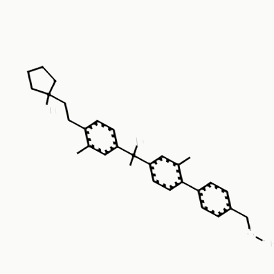 CCC(CC)(c1ccc(CCC2(O)CCCC2)c(C)c1)c1ccc(-c2ccc(COC=O)cc2)c(C)c1